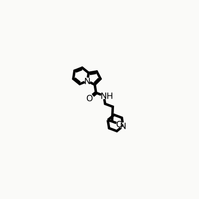 O=C(NCCC1CN2CCC1CC2)c1ccc2ccccn12